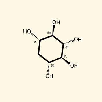 O[C@@H]1[C@@H](O)[C@H](O)C[C@H](O)[C@H]1O